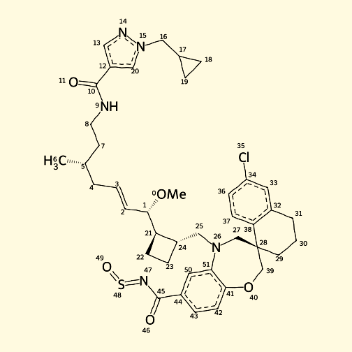 CO[C@@H](/C=C/C[C@H](C)CCNC(=O)c1cnn(CC2CC2)c1)[C@@H]1CC[C@H]1CN1C[C@@]2(CCCc3cc(Cl)ccc32)COc2ccc(C(=O)N=S=O)cc21